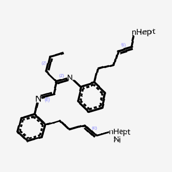 C\C=C/C(/C=N/c1ccccc1CC/C=C/CCCCCCC)=N/c1ccccc1CC/C=C/CCCCCCC.[Ni]